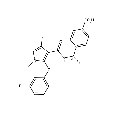 Cc1nn(C)c(Oc2cccc(F)c2)c1C(=O)N[C@@H](C)c1ccc(C(=O)O)cc1